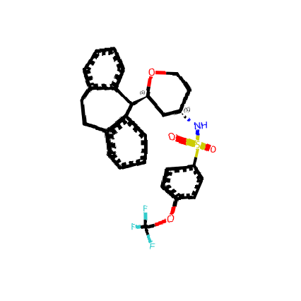 O=S(=O)(N[C@H]1CCO[C@H](C2c3ccccc3CCc3ccccc32)C1)c1ccc(OC(F)(F)F)cc1